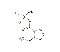 CC[C@@H]1CC=CN1C(=O)OC(C)(C)C